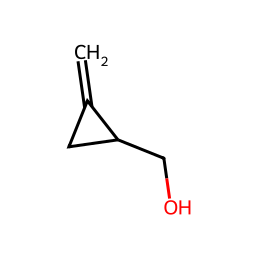 C=C1CC1CO